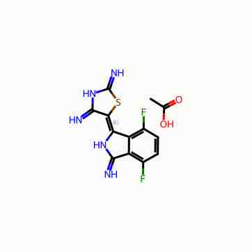 CC(=O)O.N=C1NC(=N)/C(=C2\NC(=N)c3c(F)ccc(F)c32)S1